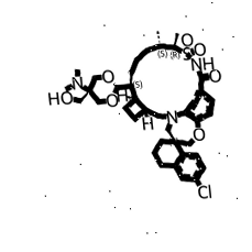 C[C@@H]1[C@@H](C)CCC[C@H]([C@H]2OC[C@@](CO)(N(C)C)CO2)[C@@H]2CC[C@H]2CN2C[C@@]3(CCCc4cc(Cl)ccc43)COc3ccc(cc32)C(=O)NS1(=O)=O